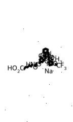 Cc1cc(OCC(=O)NCCCCCC(=O)O)cc(C)c1S(=O)(=O)n1c([S+]([O-])Cc2nccc(OCC(F)(F)F)c2C)nc2ccccc21.[Na]